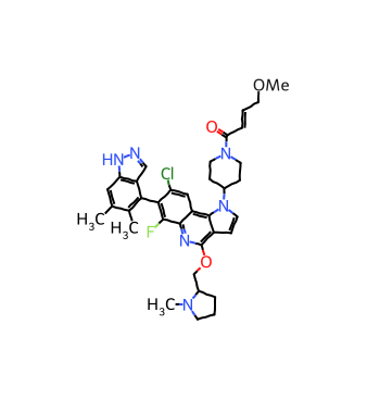 COC/C=C/C(=O)N1CCC(n2ccc3c(OCC4CCCN4C)nc4c(F)c(-c5c(C)c(C)cc6[nH]ncc56)c(Cl)cc4c32)CC1